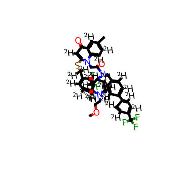 [2H]c1c([2H])c(F)c(F)c(C([2H])([2H])Sc2c([2H])c(=O)c3c([2H])c(C)c([2H])c([2H])c3n2CC(=O)N(Cc2c([2H])c([2H])c(-c3c([2H])c([2H])c(C(F)(F)F)c([2H])c3[2H])c([2H])c2[2H])C2([2H])C([2H])([2H])C([2H])([2H])N(CCOC)C([2H])([2H])C2([2H])[2H])c1[2H]